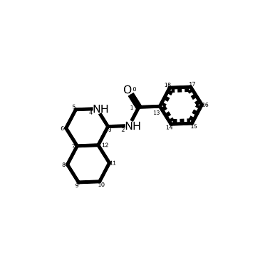 O=C(NC1NCCC2CCCCC21)c1ccccc1